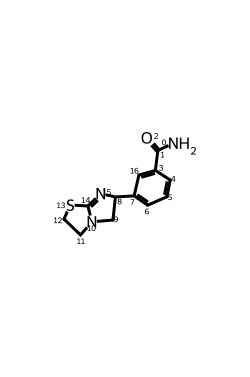 NC(=O)c1cccc(C2CN3CCSC3=N2)c1